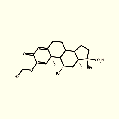 CCC[C@]1(C(=O)O)CCC2C3CCC4=CC(=O)C(OC[O])=C[C@]4(C)C3[C@@H](O)C[C@@]21C